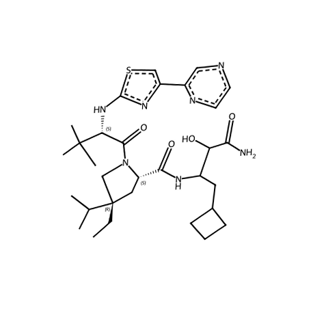 CC[C@]1(C(C)C)C[C@@H](C(=O)NC(CC2CCC2)C(O)C(N)=O)N(C(=O)[C@@H](Nc2nc(-c3cnccn3)cs2)C(C)(C)C)C1